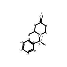 CC1CC(=O)CCN1[C@@H](C)c1ccccc1